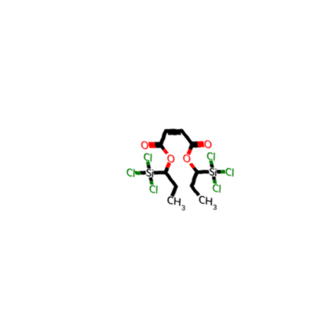 CCC(OC(=O)/C=C\C(=O)OC(CC)[Si](Cl)(Cl)Cl)[Si](Cl)(Cl)Cl